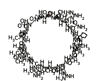 CC[C@@H](C)[C@@H]1NC(=O)[C@H](C)NC(=O)[C@@H](NC(=O)[C@H](C)NC(C)=O)Cn2cc(nn2)C[C@@H](C(=O)N[C@@H](C)C(N)O)NC(=O)[C@H](C)NC(=O)[C@H](C)NC(=O)[C@H](CCCNC(=N)N)NC(=O)[C@@H](C)NC(=O)[C@@H](C)NC(=O)[C@@H](CC(C)C)NC(=O)[C@H](Cc2c[nH]c3ccccc23)NC(=O)[C@H](CCC(N)=O)NC(=O)[C@H](CCCNC(=N)N)NC(=O)[C@H](CC(C)C)NC(=O)[C@@H]([C@@H](C)O)NC(=O)[C@@H]2CCCN2C(=O)CNC(=O)[C@@H](CCC(=O)O)NC1=O